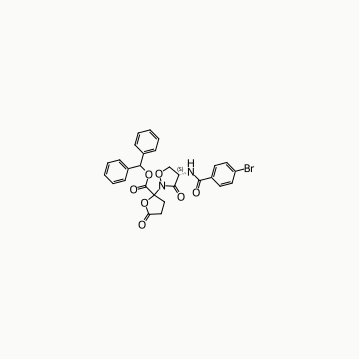 O=C1CCC(C(=O)OC(c2ccccc2)c2ccccc2)(N2OC[C@H](NC(=O)c3ccc(Br)cc3)C2=O)O1